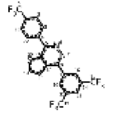 FC(F)(F)c1ccc(-c2nnc(-c3cc(C(F)(F)F)cc(C(F)(F)F)c3)c3ccsc23)cc1